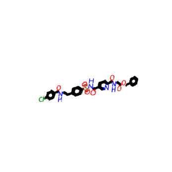 O=C(CNC(=O)c1ccc(C(=O)NS(=O)(=O)c2ccc(CCNC(=O)c3ccc(Cl)cc3)cc2)cn1)OCc1ccccc1